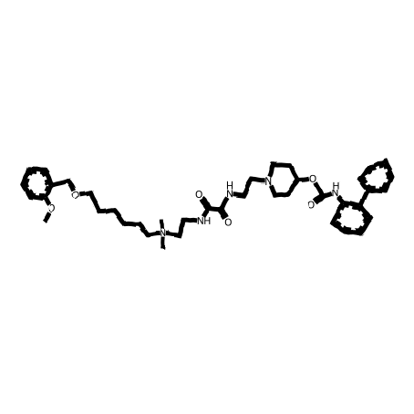 COc1ccccc1COCCCCCC[N+](C)(C)CCNC(=O)C(=O)NCCN1CCC(OC(=O)Nc2ccccc2-c2ccccc2)CC1